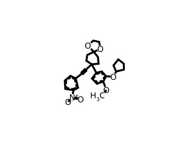 COc1ccc(C2(C#Cc3cccc([N+](=O)[O-])c3)CCC3(CC2)OCCO3)cc1OC1CCCC1